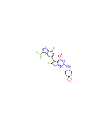 COc1nc(NC2CCC3(CC2)COC3)nn2cc(F)c(-c3cc(F)c4ncc(C(F)F)n4c3)c12